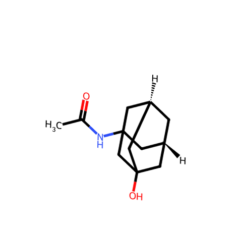 CC(=O)NC12C[C@@H]3C[C@@H](CC(O)(C3)C1)C2